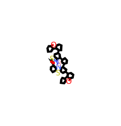 c1ccc2c(c1)Sc1cc(-c3cccc4oc5ccccc5c34)cc3c1N2B1c2c-3cccc2-c2cc(-c3cccc4oc5ccccc5c34)cc3c2N1c1ccccc1S3